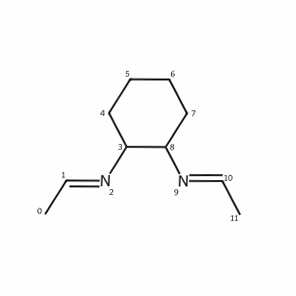 C/C=N/C1CCCCC1/N=C/C